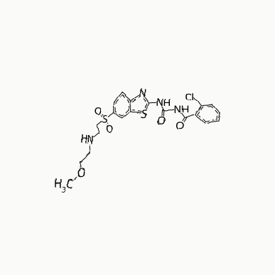 COCCNCCS(=O)(=O)c1ccc2nc(NC(=O)NC(=O)c3ccccc3Cl)sc2c1